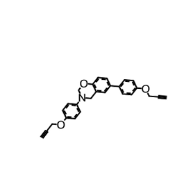 C#CCOc1ccc(-c2ccc3c(c2)CN(c2ccc(OCC#C)cc2)CO3)cc1